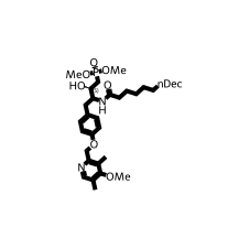 CCCCCCCCCCCCCCCC(=O)NC(Cc1ccc(OCc2ncc(C)c(OC)c2C)cc1)[C@H](O)CP(=O)(OC)OC